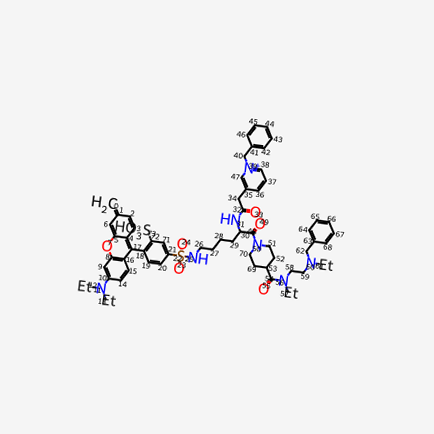 C=c1ccc2c(c1)Oc1cc(N(CC)CC)ccc1C=2c1ccc(S(=O)(=O)NCCCCC(NC(=O)Cc2ccc[n+](Cc3ccccc3)c2)C(=O)N2CCC(C(=O)N(CC)CCN(CC)Cc3ccccc3)CC2)cc1S(=O)(=O)O